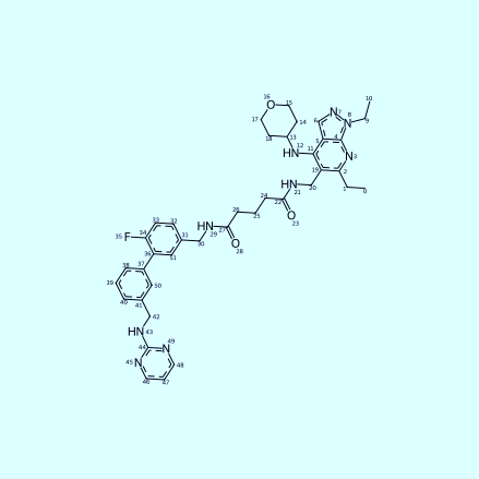 CCc1nc2c(cnn2CC)c(NC2CCOCC2)c1CNC(=O)CCCC(=O)NCc1ccc(F)c(-c2cccc(CNc3ncccn3)c2)c1